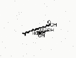 CC(C)CCCCCCCCCCCCCCC(=O)O.OB(O)O.OCC(O)CO